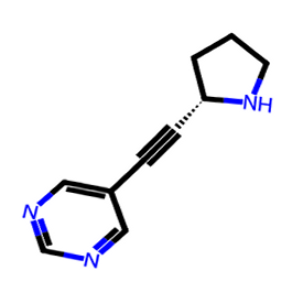 C(#C[C@@H]1CCCN1)c1cncnc1